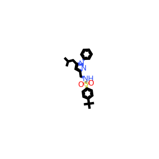 CC(C)Cc1cc(CNS(=O)(=O)c2ccc(C(C)(C)C)cc2)nn1-c1ccccc1